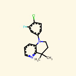 CC1(C)CCN(c2ccc(Cl)c(F)c2)c2cccnc21